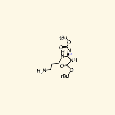 CC(C)(C)OC(=O)/N=C(\NCCCN)NC(=O)OC(C)(C)C